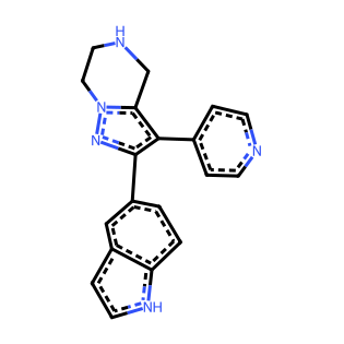 c1cc(-c2c(-c3ccc4[nH]ccc4c3)nn3c2CNCC3)ccn1